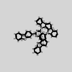 c1ccc(-n2c3ccccc3c3ccc4c5ccccc5n(-c5nc(-c6ccc7c(c6)oc6ccccc67)nc(-c6cccc7c6sc6ccccc67)n5)c4c32)cc1